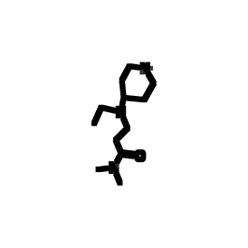 CCN(CCC(=O)N(C)C)C1CC[N]CC1